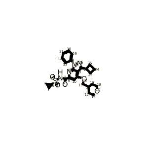 O=C(NS(=O)(=O)C1CC1)c1cc(OCC2CCOCC2)c2c(C3CCC3)nn(-c3ccccc3)c2n1